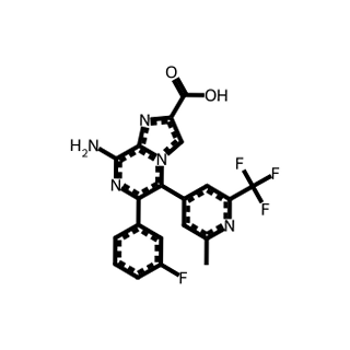 Cc1cc(-c2c(-c3cccc(F)c3)nc(N)c3nc(C(=O)O)cn23)cc(C(F)(F)F)n1